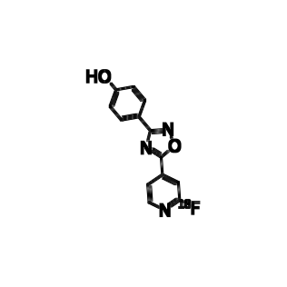 Oc1ccc(-c2noc(-c3ccnc([18F])c3)n2)cc1